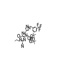 CCCn1c(C#N)nc2c(nc(-c3cnn(Cc4cccc(C(F)(F)F)c4)c3)n2COP(=O)(OC(C)(C)C)OC(C)(C)C)c1=O